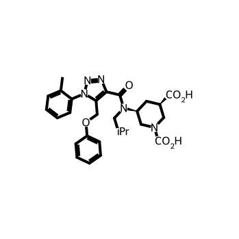 Cc1ccccc1-n1nnc(C(=O)N(CC(C)C)[C@H]2C[C@@H](C(=O)O)CN(C(=O)O)C2)c1COc1ccccc1